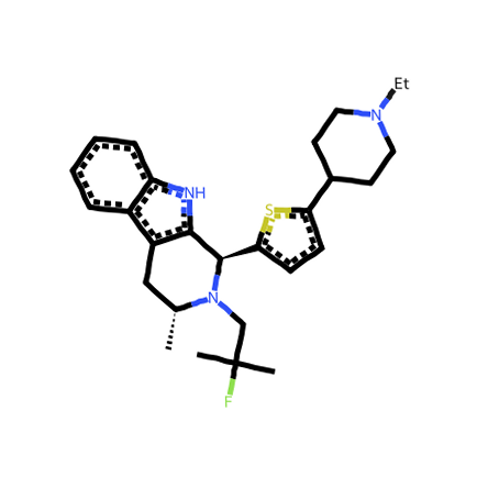 CCN1CCC(c2ccc([C@@H]3c4[nH]c5ccccc5c4C[C@@H](C)N3CC(C)(C)F)s2)CC1